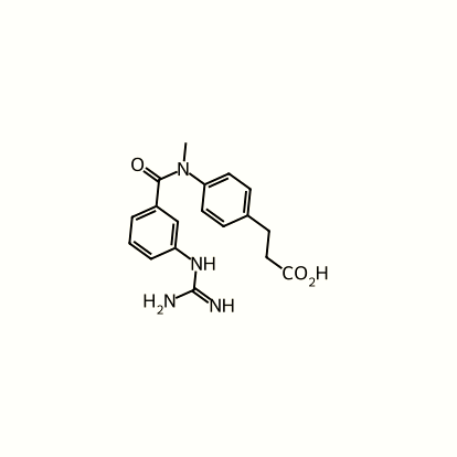 CN(C(=O)c1cccc(NC(=N)N)c1)c1ccc(CCC(=O)O)cc1